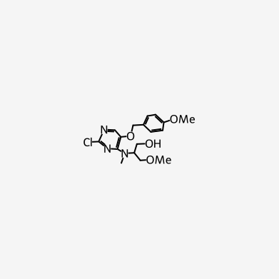 COCC(CO)N(C)c1nc(Cl)ncc1OCc1ccc(OC)cc1